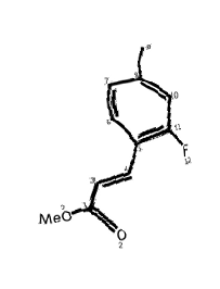 COC(=O)/C=C/c1ccc(C)cc1F